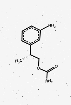 C[C@@H](COC(N)=O)c1cccc(N)c1